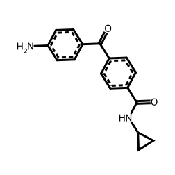 Nc1ccc(C(=O)c2ccc(C(=O)NC3CC3)cc2)cc1